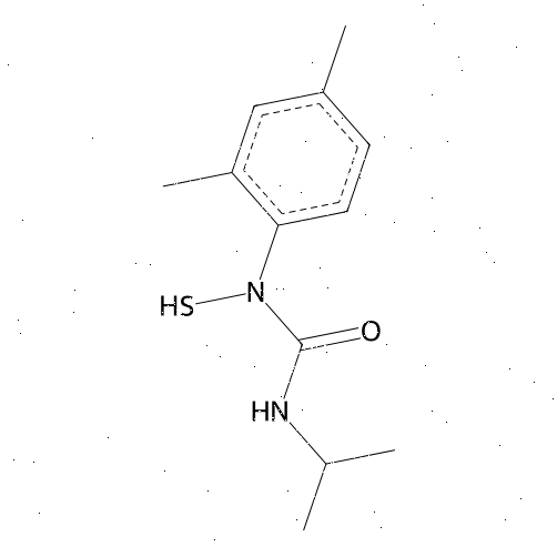 Cc1ccc(N(S)C(=O)NC(C)C)c(C)c1